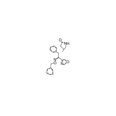 O=C1CC(C[C@H](C(=NOCc2ccccc2)c2cocn2)c2ccccc2)CN1